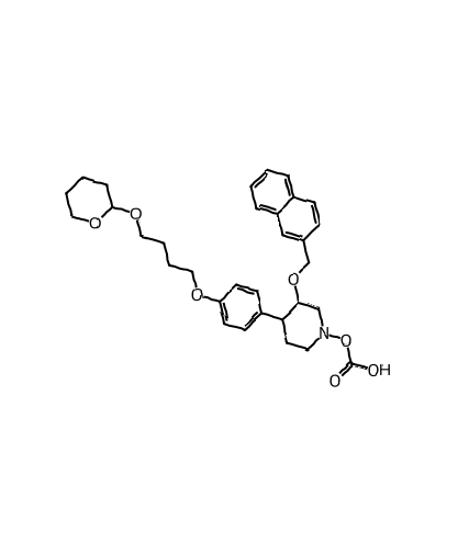 O=C(O)ON1CCC(c2ccc(OCCCCOC3CCCCO3)cc2)C(OCc2ccc3ccccc3c2)C1